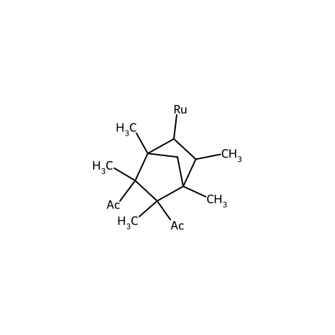 CC(=O)C1(C)C2(C)CC(C)([CH]([Ru])C2C)C1(C)C(C)=O